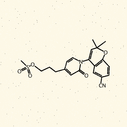 CC1(C)C=C(n2ccc(CCCOS(C)(=O)=O)cc2=O)c2cc(C#N)ccc2O1